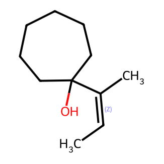 C/C=C(/C)C1(O)CCCCCC1